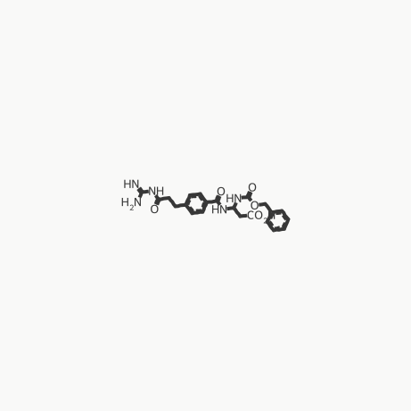 N=C(N)NC(=O)CCc1ccc(C(=O)NC(CC(=O)O)NC(=O)OCc2ccccc2)cc1